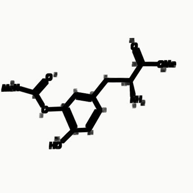 CNC(=O)Oc1cc(C[C@H](N)C(=O)OC)ccc1O